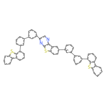 c1cc(-c2cccc(-c3cccc4c3sc3ccccc34)c2)cc(-c2ccc3sc4nc(-c5cccc(-c6cccc(-c7cccc8c7sc7ccccc78)c6)c5)cnc4c3c2)c1